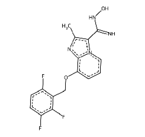 Cc1nc2c(OCc3c(F)ccc(F)c3F)cccn2c1C(=N)NO